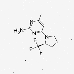 Cc1cc(N2CCC[C@H]2C(F)(F)F)nc(N)n1